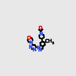 Cc1cc2cnn(-c3cc(N4CCOCC4)ncn3)c2cc1C1CCN(C2COC2)CC1